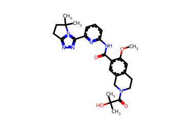 COc1cc2c(cc1C(=O)Nc1cccc(-c3nnc4n3C(C)(C)CC4)n1)CN(C(=O)C(C)(C)O)CC2